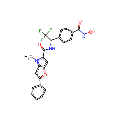 Cn1c(C(=O)N[C@@H](c2ccc(C(=O)NO)cc2)C(F)(F)F)cc2oc(-c3ccccc3)cc21